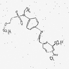 CCNc1ccc(N=Nc2ccc(N(C)S(=O)(=O)CCOS(=O)(=O)O)cc2)cc1S(=O)(=O)O